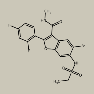 CCS(=O)(=O)Nc1cc2oc(-c3ccc(F)cc3F)c(C(=O)NC)c2cc1Br